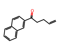 C=CCCC(=O)c1ccc2ccccc2c1